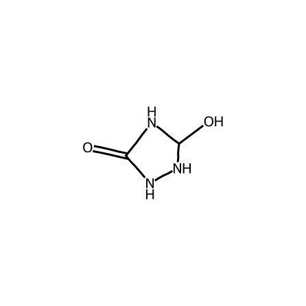 O=C1NNC(O)N1